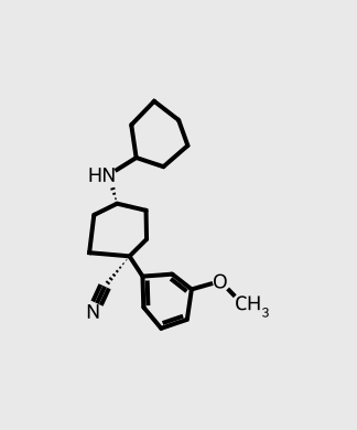 COc1cccc([C@]2(C#N)CC[C@@H](NC3CCCCC3)CC2)c1